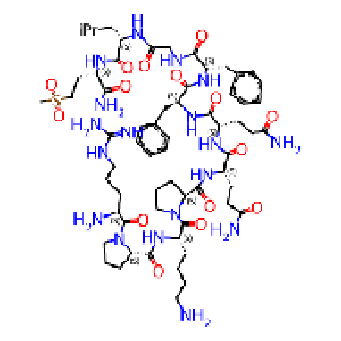 CC(C)C[C@H](NC(=O)CNC(=O)[C@H](Cc1ccccc1)NC(=O)[C@H](Cc1ccccc1)NC(=O)[C@H](CCC(N)=O)NC(=O)[C@H](CCC(N)=O)NC(=O)[C@@H]1CCCN1C(=O)[C@H](CCCCN)NC(=O)[C@@H]1CCCN1C(=O)[C@@H](N)CCCNC(=N)N)C(=O)N[C@@H](CCS(C)(=O)=O)C(N)=O